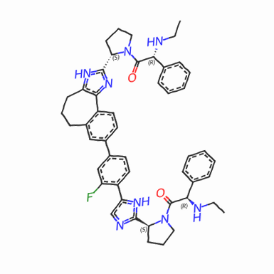 CCN[C@@H](C(=O)N1CCC[C@H]1c1ncc(-c2ccc(-c3ccc4c(c3)CCCc3[nH]c([C@@H]5CCCN5C(=O)[C@H](NCC)c5ccccc5)nc3-4)cc2F)[nH]1)c1ccccc1